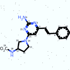 Nc1nc(C=Cc2ccccc2)cc(N2CCC(NC(=O)O)C2)n1